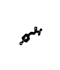 CN(C)C(=O)C=Cc1cc[n+]([O-])cc1